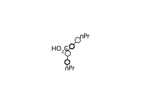 CCCc1ccc(C2CCC(C(=O)O)(c3ccc(C4CCC(CCC)CC4)cc3)CC2)cc1